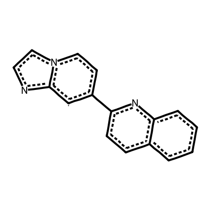 [c]1c(-c2ccc3ccccc3n2)ccn2ccnc12